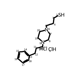 Cl.Cl.SCCCN1CCN(CCCc2ccccc2)CC1